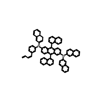 C=C/C=C\c1cccc(N(C2=CCC3C=CC=CC3=C2)c2ccc3c(-c4cccc5ccccc45)c4cc(N(c5ccc6ccccc6c5)c5ccc6ccccc6c5)ccc4c(-c4cccc5ccccc45)c3c2)c1